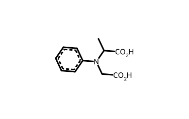 CC(C(=O)O)N(CC(=O)O)c1ccccc1